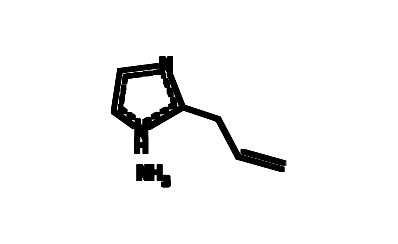 C=CCc1ncc[nH]1.N